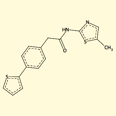 Cc1cnc(NC(=O)Cc2ccc(-c3cccs3)cc2)s1